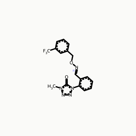 Cn1nnn(-c2ccccc2/C=N/OCc2cccc(C(F)(F)F)c2)c1=O